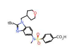 CN(c1ccc2c(c1)nc(C(C)(C)C)n2CC1CCOCC1)S(=O)(=O)c1ccc(C(=O)O)cc1